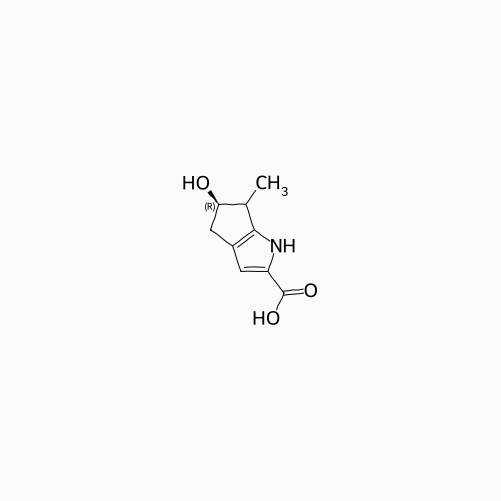 CC1c2[nH]c(C(=O)O)cc2C[C@H]1O